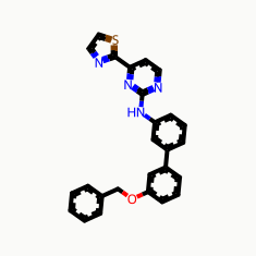 c1ccc(COc2cccc(-c3cccc(Nc4nccc(-c5nccs5)n4)c3)c2)cc1